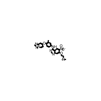 Cc1cc(Nc2ncnc3cc(OCCN(C)C)c([N+](=O)[O-])cc23)ccc1Oc1ccn2ncnc2c1